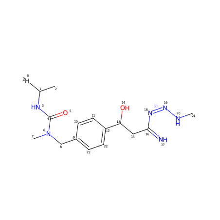 [2H]C(C)NC(=O)N(C)Cc1ccc(C(O)CC(=N)/N=N\NC)cc1